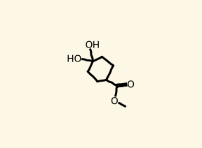 COC(=O)C1CCC(O)(O)CC1